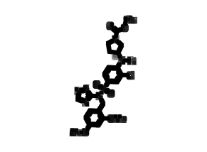 CCN(c1ccc(S(=O)(=O)N(Cc2ccc(OC)cc2OC)c2ncns2)cc1Cl)[C@H]1CCN(C(=O)OC(C)(C)C)C1